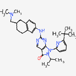 CC(C)n1c(=O)c2cnc(Nc3ccc4c(c3)CCC(CN(C)C)C4)nc2n1-c1cccc(C(C)(C)C)n1